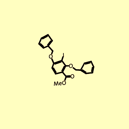 COC(=O)c1ccc(OCc2ccccc2)c(I)c1OCc1ccccc1